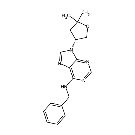 CC1(C)C[C@@H](n2cnc3c(NCc4ccccc4)ncnc32)CO1